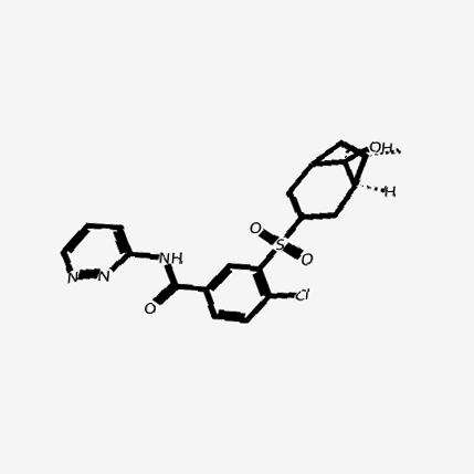 C[C@H]1CC2CC(S(=O)(=O)c3cc(C(=O)Nc4cccnn4)ccc3Cl)C[C@H]1[C@]2(C)O